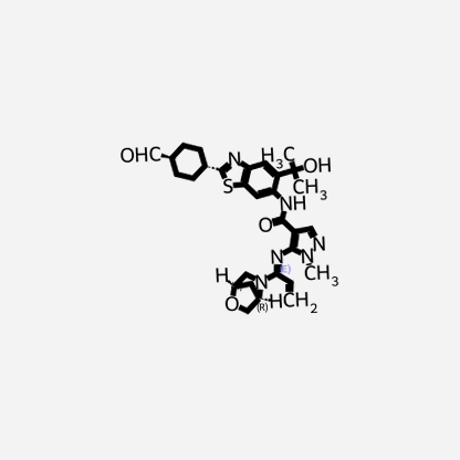 C=C/C(=N\c1c(C(=O)Nc2cc3sc([C@H]4CC[C@H](C=O)CC4)nc3cc2C(C)(C)O)cnn1C)N1C[C@H]2C[C@@H]1CO2